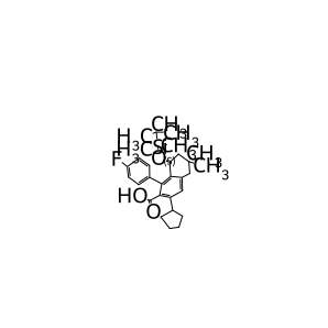 CC1(C)Cc2cc(C3CCCC3)c(C(=O)O)c(-c3ccc(F)cc3)c2[C@@H](O[Si](C)(C)C(C)(C)C)C1